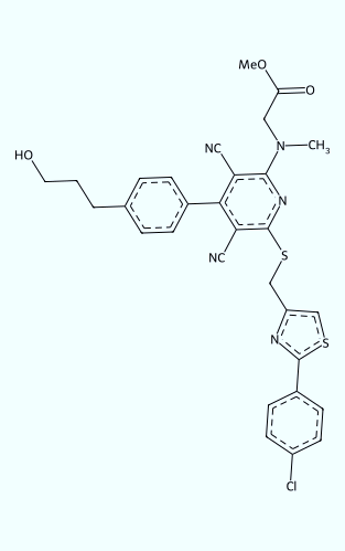 COC(=O)CN(C)c1nc(SCc2csc(-c3ccc(Cl)cc3)n2)c(C#N)c(-c2ccc(CCCO)cc2)c1C#N